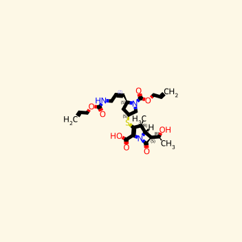 C=CCOC(=O)NC/C=C\[C@@H]1C[C@H](SC2=C(C(=O)O)N3C(=O)[C@H]([C@@H](C)O)[C@H]3[C@H]2C)CN1C(=O)OCC=C